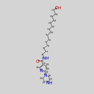 O=C(NCCCCCCCCCCCCCCCO)c1ccc(N2CCNCC2)nc1